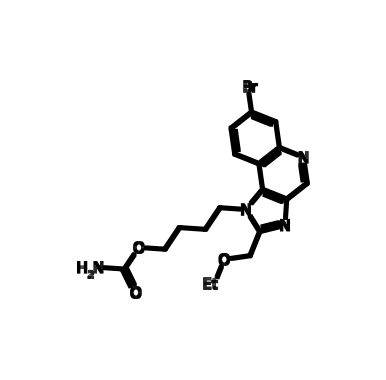 CCOCc1nc2cnc3cc(Br)ccc3c2n1CCCCOC(N)=O